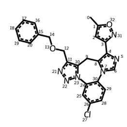 Cc1cc(-c2ncn3c2Cc2c(COCc4ccccc4)nnn2-c2cc(Cl)ccc2-3)no1